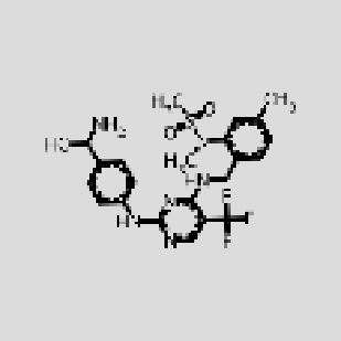 Cc1ccc(CNc2nc(Nc3ccc(C(N)O)cc3)ncc2C(F)(F)F)c(N(C)S(C)(=O)=O)c1